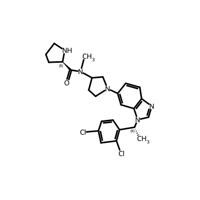 C[C@H](c1ccc(Cl)cc1Cl)n1cnc2ccc(N3CCC(N(C)C(=O)[C@H]4CCCN4)C3)cc21